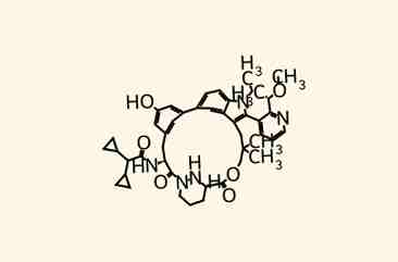 CCn1c(-c2cccnc2[C@H](C)OC)c2c3cc(ccc31)-c1cc(O)cc(c1)C[C@H](NC(=O)C(C1CC1)C1CC1)C(=O)N1CCC[C@H](N1)C(=O)OCC(C)(C)C2